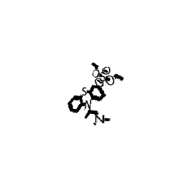 CC(CN(C)C)N1c2ccccc2Sc2ccccc21.CCOS(=O)(=O)OCC